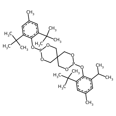 Cc1cc(C(C)C)c(OP2OCC3(CO2)COP(Oc2c(C(C)(C)C)cc(C)cc2C(C)(C)C)OC3)c(C(C)(C)C)c1